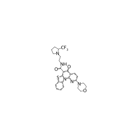 O=C(NCCN1CCCC1C(F)(F)F)c1c(=O)c2ccc(N3CCOCC3)nc2n2c1sc1ccccc12